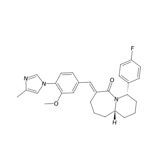 COc1cc(C=C2CCC[C@H]3CCC[C@@H](c4ccc(F)cc4)N3C2=O)ccc1-n1cnc(C)c1